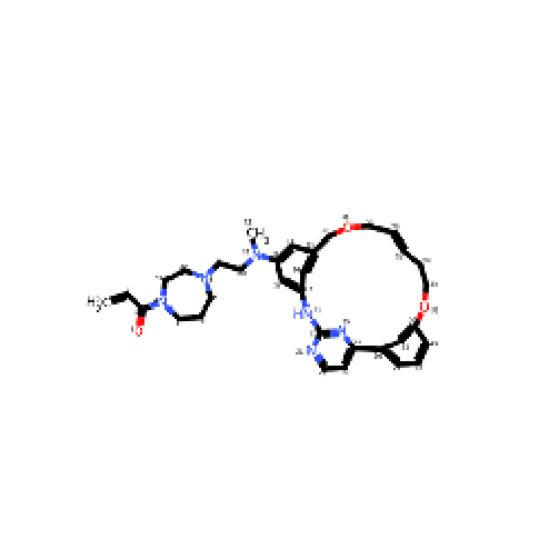 C=CC(=O)N1CCCN(CCN(C)c2cc3cc(c2)Nc2nccc(n2)-c2cccc(c2)OCC/C=C/COC3)CC1